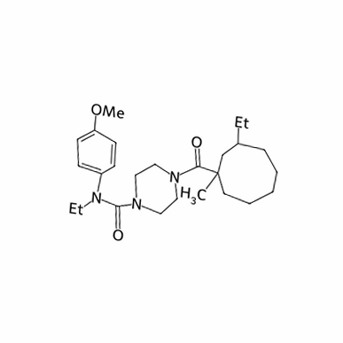 CCC1CCCCCC(C)(C(=O)N2CCN(C(=O)N(CC)c3ccc(OC)cc3)CC2)C1